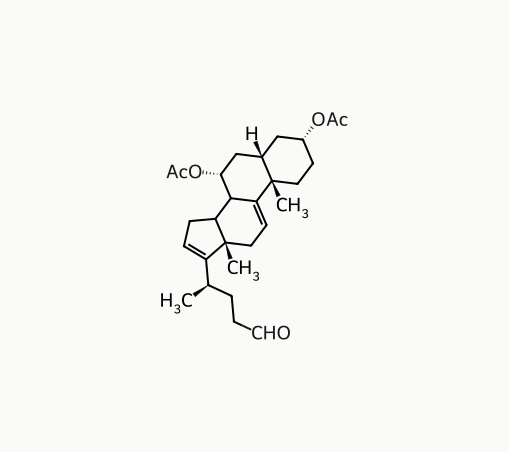 CC(=O)O[C@@H]1CC[C@]2(C)C3=CC[C@]4(C)C([C@H](C)CCC=O)=CCC4C3[C@H](OC(C)=O)C[C@@H]2C1